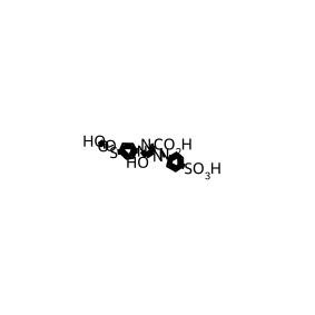 O=C(O)c1nn(-c2ccc(SOOO)cc2)c(O)c1/N=N/c1ccc(S(=O)(=O)O)cc1